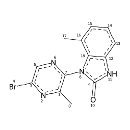 Cc1nc(Br)cnc1-n1c(=O)[nH]c2cccc(C)c21